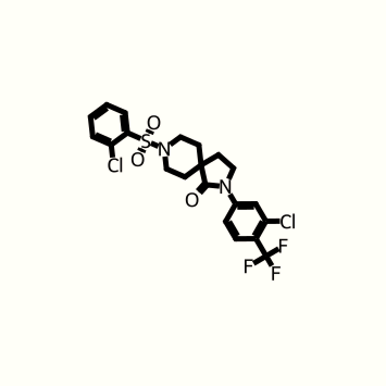 O=C1N(c2ccc(C(F)(F)F)c(Cl)c2)CCC12CCN(S(=O)(=O)c1ccccc1Cl)CC2